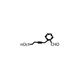 CCCCCCCCCCC#CCc1ccccc1C=O